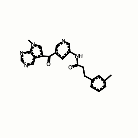 Cc1cccc(CCC(=O)Nc2cncc(C(=O)c3cn(C)c4ncncc34)c2)c1